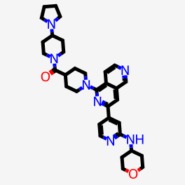 O=C(C1CCN(c2nc(-c3ccnc(NC4CCOCC4)c3)cc3cnccc23)CC1)N1CCC(N2CCCC2)CC1